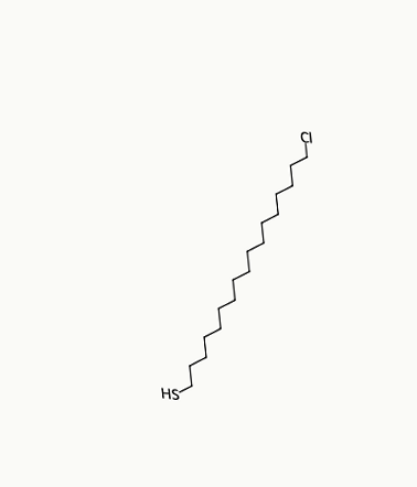 SCCCCCCCCCCCCCCCCCCl